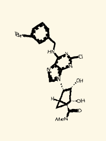 CNC(=O)[C@@]12C[C@@H]1[C@H](n1cnc3c(NCc4cccc(Br)c4)nc(Cl)nc31)[C@H](O)[C@@H]2O